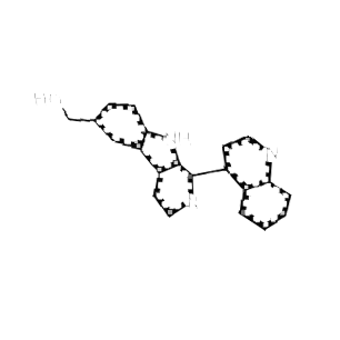 OCc1ccc2[nH]c3c(-c4ccnc5ccccc45)nccc3c2c1